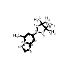 Cc1cc(B2OC(C)(C)C(C)(C)O2)cc2ncnn12